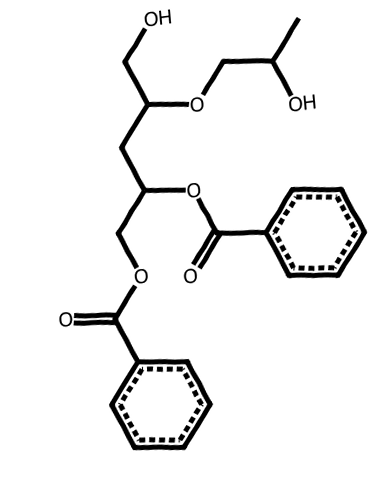 CC(O)COC(CO)CC(COC(=O)c1ccccc1)OC(=O)c1ccccc1